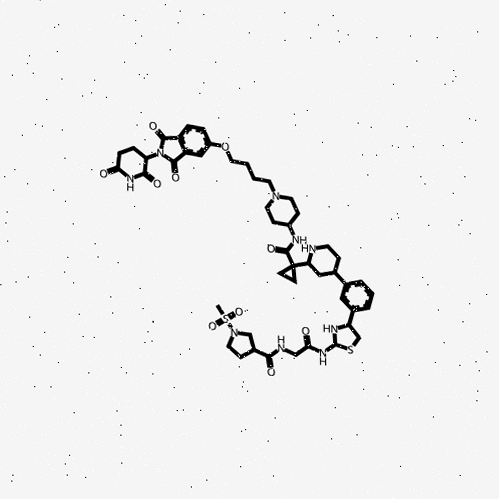 CS(=O)(=O)N1CCC(C(=O)NCC(=O)NC2NC(c3cccc(C4CCNC(C5(C(=O)NC6CCN(CCCCOc7ccc8c(c7)C(=O)N(C7CCC(=O)NC7=O)C8=O)CC6)CC5)C4)c3)CS2)C1